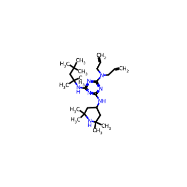 C=CCN(CC=C)c1nc(NC2CC(C)(C)NC(C)(C)C2)nc(NC(C)(C)CC(C)(C)C)n1